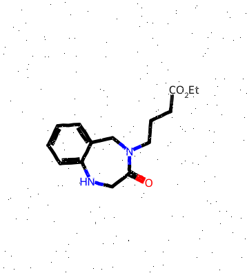 CCOC(=O)CCCN1Cc2ccccc2NCC1=O